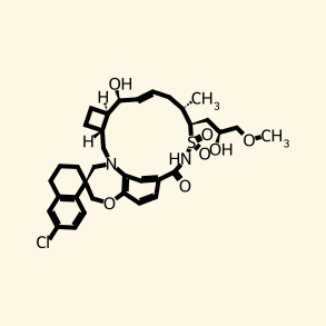 COC[C@@H](O)C[C@@H]1[C@@H](C)C/C=C/[C@H](O)[C@@H]2CC[C@H]2CN2C[C@@]3(CCCc4cc(Cl)ccc43)COc3ccc(cc32)C(=O)NS1(=O)=O